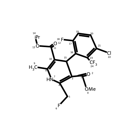 COC(=O)C1=C(CF)NC(C)=C(C(=O)OC(C)C)C1c1c(F)ccc(Cl)c1C(F)(F)F